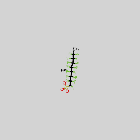 O=S(=O)([O-])C(F)C(F)(F)C(F)(F)C(F)(F)C(F)(F)C(F)(F)C(F)(F)C(F)(F)C(F)(F)F.[Na+]